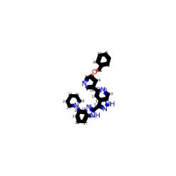 c1ccc(COc2cncc(-c3cc4c(-c5nc6c(N7CCCCC7)cccc6[nH]5)n[nH]c4cn3)c2)cc1